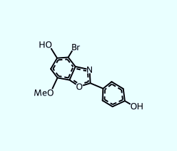 COc1cc(O)c(Br)c2nc(-c3ccc(O)cc3)oc12